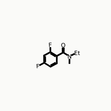 CCN(C)C(=O)c1ccc(F)cc1F